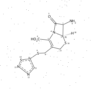 NC1C(=O)N2C(C(=O)O)=C(CSc3cnns3)CS[C@H]12